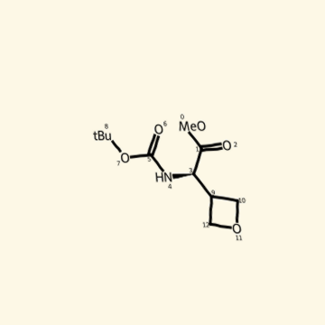 COC(=O)[C@H](NC(=O)OC(C)(C)C)C1COC1